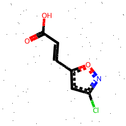 O=C(O)C=Cc1cc(Cl)no1